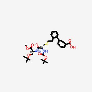 COC(=O)[C@H](COC(C)(C)C)NC(=O)[C@H](CSCCc1ccccc1-c1cccc(C(=O)O)c1)NC(=O)OC(C)(C)C